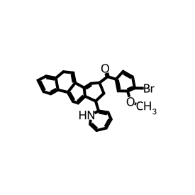 COc1cc(C(=O)C2C=c3c(ccc4c3=CCc3ccccc3-4)C(C3=CC=CC=CN3)C2)ccc1Br